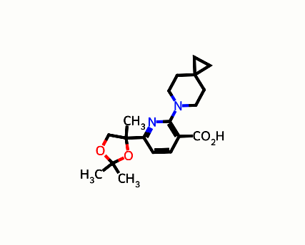 CC1(C)OCC(C)(c2ccc(C(=O)O)c(N3CCC4(CC3)CC4)n2)O1